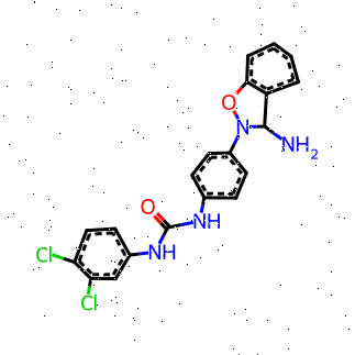 NC1c2ccccc2ON1c1ccc(NC(=O)Nc2ccc(Cl)c(Cl)c2)cc1